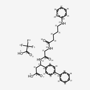 O=C(O)C(F)(F)F.O=C(O)CC(NC(=O)CNC(=O)CCCCNc1ccccn1)c1ccc(-c2ccccc2)cc1